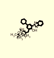 CC(Cc1cc(C2CCCCC2)cc(-n2nc3ccccc3n2)c1O)C[Si](C)(C)O[Si](C)(C)C